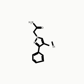 CCC.Cc1cn(CC(N)=O)nc1-c1ccccc1